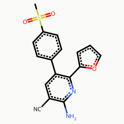 CS(=O)(=O)c1ccc(-c2cc(C#N)c(N)nc2-c2ccco2)cc1